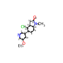 CCOc1cncc(-c2ccc3c(c2Cl)CC(=O)N3C)c1